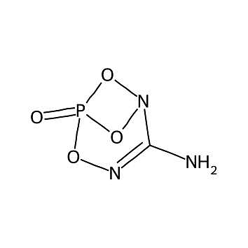 NC1=NOP2(=O)ON1O2